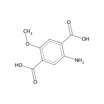 COc1cc(C(=O)O)c(N)cc1C(=O)O